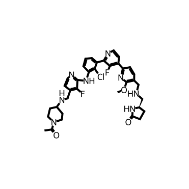 COc1nc(-c2ccnc(-c3cccc(Nc4nccc(CNC5CCN(C(C)=O)CC5)c4F)c3Cl)c2F)ccc1CNC[C@H]1CCC(=O)N1